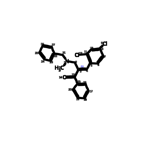 CN(C/C(=C\c1ccc(Cl)cc1Cl)C(=O)c1ccccc1)Cc1ccccc1